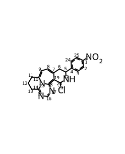 O=[N+]([O-])c1ccc(C2CC3=CC=C4CCCC5=NC=NC(=C3C(Cl)N2)N45)cc1